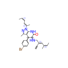 C#C/C(=C\C(C)=C/C)CN[C@@H]1C(=O)Nc2c(c(C)nn2/C(C)=C/C=C\C)[C@@H]1c1ccc(Br)cc1